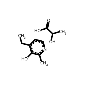 CC(O)C(=O)O.CCc1ccnc(C)c1O